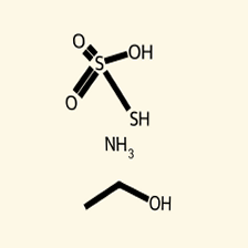 CCO.N.O=S(=O)(O)S